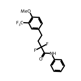 COc1ccc(CCC(F)(F)C(=O)Nc2ccccc2)cc1C(F)(F)F